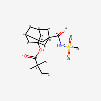 CCC(C)(C)C(=O)OC12CC3CC(C1)CC(C(=O)NS(C)(=O)=O)(C3)C2